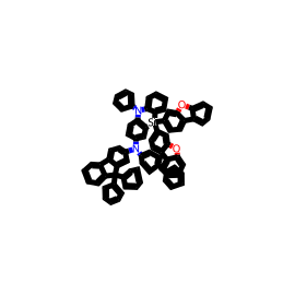 c1ccc(-c2ccc(N(c3ccc4c(c3)C(c3ccccc3)(c3ccccc3)c3ccccc3-4)c3ccc4c(c3)[Si](c3ccc5c(c3)oc3ccccc35)(c3ccc5c(c3)oc3ccccc35)c3ccccc3N4c3ccccc3)cc2)cc1